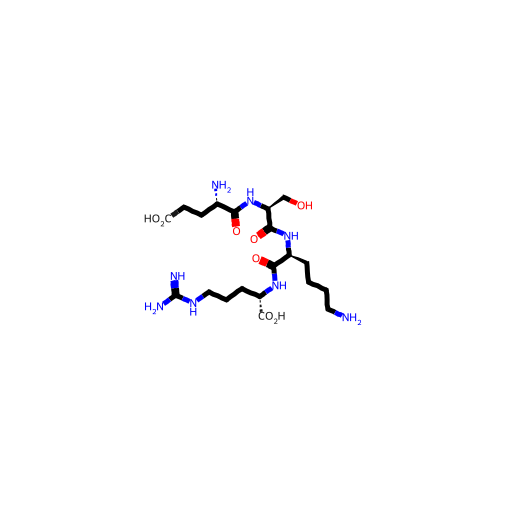 N=C(N)NCCC[C@H](NC(=O)[C@H](CCCCN)NC(=O)[C@H](CO)NC(=O)[C@@H](N)CCC(=O)O)C(=O)O